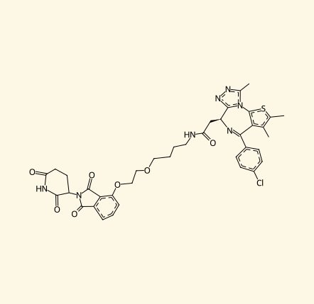 Cc1sc2c(c1C)C(c1ccc(Cl)cc1)=N[C@@H](CC(=O)NCCCCOCCOc1cccc3c1C(=O)N(C1CCC(=O)NC1=O)C3=O)c1nnc(C)n1-2